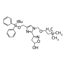 CC(C)(C)[Si](OCc1cn(COCC[Si](C)(C)C)c(C2=NOC(O)C2)n1)(c1ccccc1)c1ccccc1